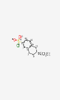 CCOC(=O)C1CCc2cc(S(=O)(=O)Cl)ccc2C1